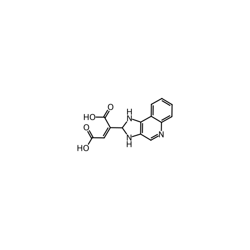 O=C(O)/C=C(\C(=O)O)C1Nc2cnc3ccccc3c2N1